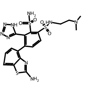 CN(C)CCNS(=O)(=O)c1ccc(-c2cccc3sc(N)nc23)c(-c2nnn[nH]2)c1S(N)(=O)=O